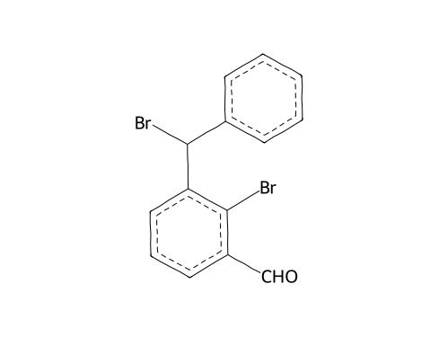 O=Cc1cccc(C(Br)c2ccccc2)c1Br